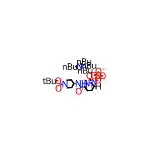 CC(C)(C)OC(=O)N1CCC(NC(=O)[C@@H]2CC[C@@H]3CN2C(=O)N3OS(=O)(=O)[O-])CC1.CCCC[N+](CCCC)(CCCC)CCCC